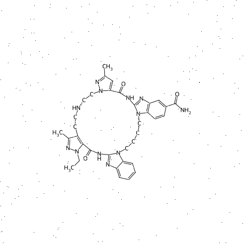 CCn1nc(C)c2c1C(=O)Nc1nc3ccccc3n1CCCCn1c(nc3cc(C(N)=O)ccc31)NC(=O)c1cc(C)nn1CCNCC2